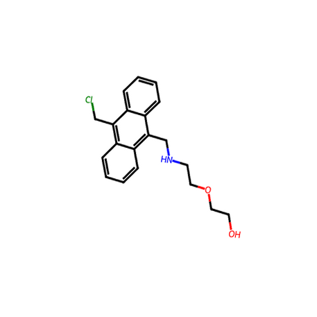 OCCOCCNCc1c2ccccc2c(CCl)c2ccccc12